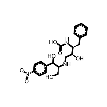 O=C(O)N[C@@H](Cc1ccccc1)[C@@H](O)CN[C@@H](CO)C(O)c1ccc([N+](=O)[O-])cc1